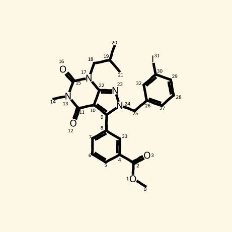 COC(=O)c1cccc(-c2c3c(=O)n(C)c(=O)n(CC(C)C)c3nn2Cc2cccc(I)c2)c1